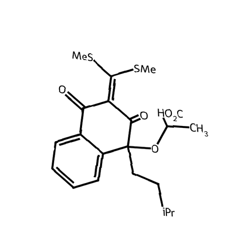 CSC(SC)=C1C(=O)c2ccccc2C(CCC(C)C)(OC(C)C(=O)O)C1=O